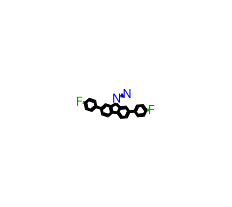 N#CN=C1c2cc(-c3ccc(F)cc3)ccc2-c2ccc(-c3ccc(F)cc3)cc21